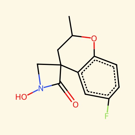 CC1CC2(CN(O)C2=O)c2cc(F)ccc2O1